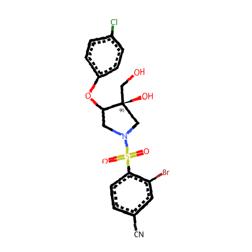 N#Cc1ccc(S(=O)(=O)N2CC(Oc3ccc(Cl)cc3)[C@](O)(CO)C2)c(Br)c1